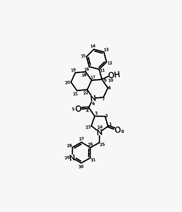 O=C1CC(C(=O)N2CCC(O)(c3ccccc3)C3CCCCC32)CN1Cc1ccncc1